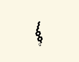 CCCC/C=C/C1CCC(C2CCC(COC)CC2)CC1